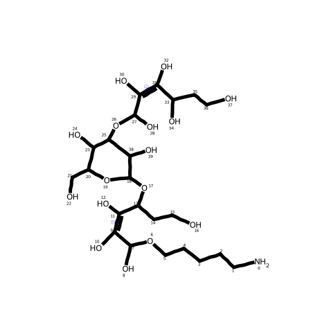 NCCCCCOC(O)/C(O)=C(/O)C(CCO)OC1OC(CO)C(O)C(OC(O)/C(O)=C(/O)C(O)CCO)C1O